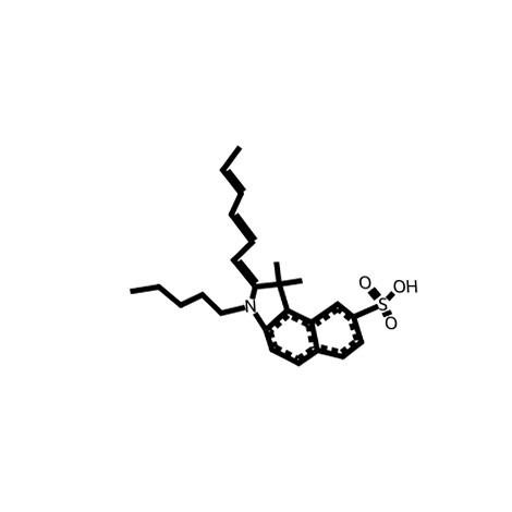 C/C=C/C=C/C=C1/N(CCCCC)c2ccc3ccc(S(=O)(=O)O)cc3c2C1(C)C